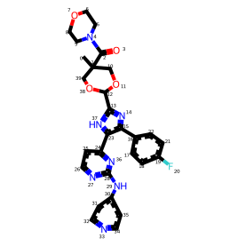 CC1(C(=O)N2CCOCC2)COC(c2nc(-c3ccc(F)cc3)c(-c3ccnc(Nc4ccncc4)n3)[nH]2)OC1